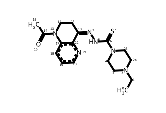 CCN1CCN(C(=S)N/N=C2/CCN(C(C)=O)c3cccnc32)CC1